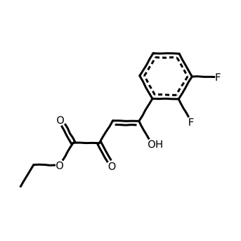 CCOC(=O)C(=O)/C=C(\O)c1cccc(F)c1F